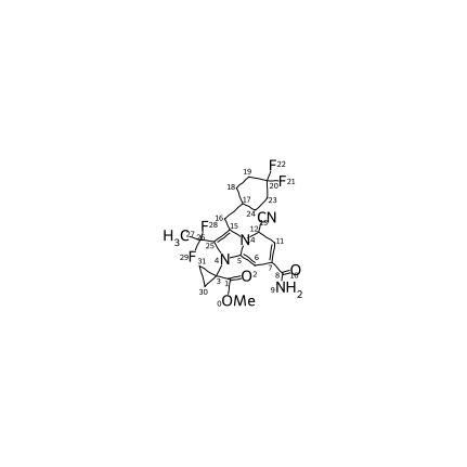 COC(=O)C1(N2C3=CC(C(N)=O)=CC(C#N)N3C(CC3CCC(F)(F)CC3)=C2C(C)(F)F)CC1